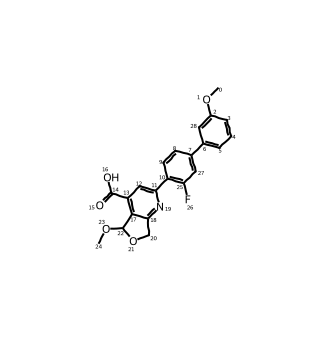 COc1cccc(-c2ccc(-c3cc(C(=O)O)c4c(n3)COC4OC)c(F)c2)c1